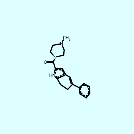 CN1CCN(C(=O)c2cc3c([nH]2)CCC(c2ccccc2)=C3)CC1